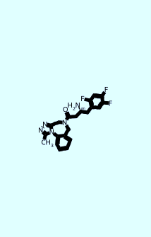 Cc1nnc2n1-c1ccccc1CN(C(=O)C[C@H](N)Cc1cc(F)c(F)cc1F)C2